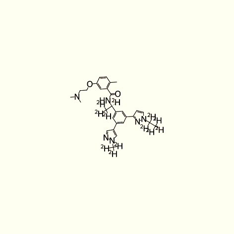 [2H]C([2H])([2H])n1cc(-c2cc(-c3ccn(C([2H])([2H])C([2H])([2H])[2H])n3)cc([C@]([2H])(NC(=O)c3cc(OCCN(C)C)ccc3C)C([2H])([2H])[2H])c2)cn1